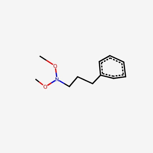 CON(CCCc1ccccc1)OC